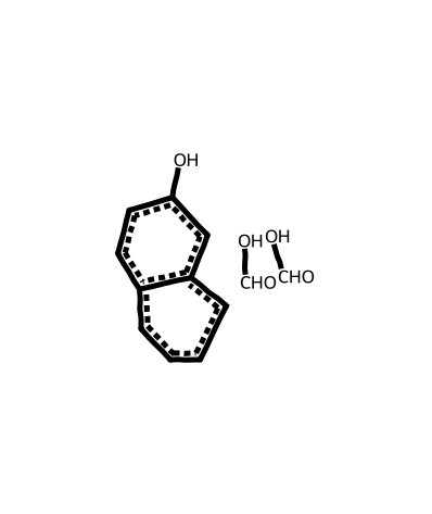 O=CO.O=CO.Oc1ccc2ccccc2c1